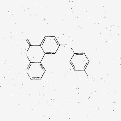 COc1ccc(Oc2ccc3c(=O)[nH]c4ncccc4c3c2)cc1